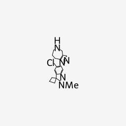 CNC1=Nc2cc(-n3ncc4c3CCCNC4)c(Cl)cc2C12CCC2